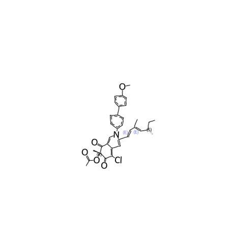 CC[C@H](C)/C=C(C)/C=C/C1=CC2=C(Cl)C(=O)[C@](C)(OC(C)=O)C(=O)C2=CN1c1ccc(-c2ccc(OC)cc2)cc1